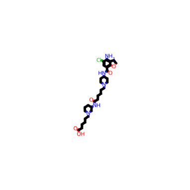 Nc1c(Cl)cc(C(=O)NC2CCN(CCCCCC(=O)NC3CCCN(CCCCCC(=O)O)C3)CC2)c2c1CCO2